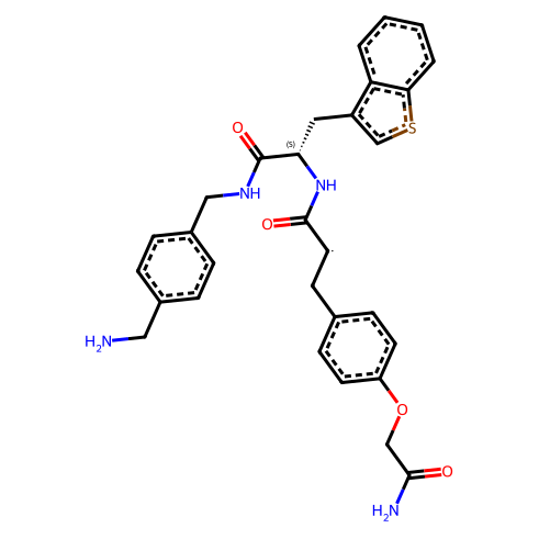 NCc1ccc(CNC(=O)[C@H](Cc2csc3ccccc23)NC(=O)[CH]Cc2ccc(OCC(N)=O)cc2)cc1